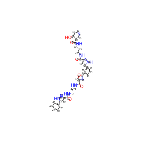 O=C(NCCCNC(=O)c1coc(-c2cccc(-c3cc(C(=O)NCCCNC(=O)c4cnccc4O)n[nH]3)c2)n1)c1cc(-c2ccccc2)[nH]n1